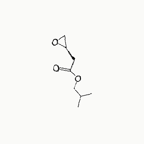 CC(C)COC(=O)C[C@@H]1CO1